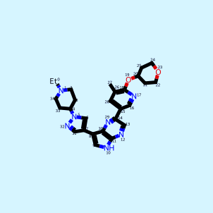 CCN1CCC(n2cc(-c3c[nH]c4ncc(-c5cnc(OC6CCOCC6)c(C)c5)nc34)cn2)CC1